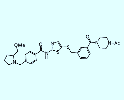 COC[C@@H]1CCCN1Cc1ccc(C(=O)Nc2ncc(SCc3cccc(C(=O)N4CCN(C(C)=O)CC4)c3)s2)cc1